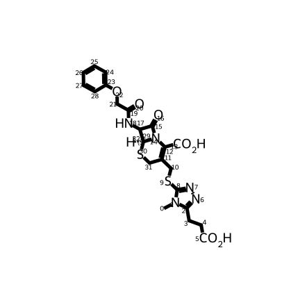 Cn1c(CCC(=O)O)nnc1SCC1=C(C(=O)O)N2C(=O)C(NC(=O)COc3ccccc3)[C@@H]2SC1